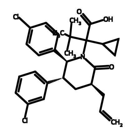 C=CC[C@H]1C[C@H](c2cccc(Cl)c2)[C@@H](c2ccc(Cl)cc2)N(C(C(=O)O)(C2CC2)C(C)(C)C)C1=O